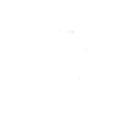 O=C(O)C(Cc1ccccc1)C1COCCO1